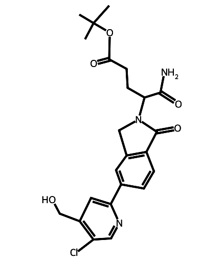 CC(C)(C)OC(=O)CCC(C(N)=O)N1Cc2cc(-c3cc(CO)c(Cl)cn3)ccc2C1=O